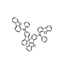 c1ccc(N(c2ccc3c(c2)-c2ccccc2C32c3ccc(N(c4ccccc4)c4cccc5c4oc4ccccc45)cc3-c3oc4ccccc4c32)c2cccc3c2oc2ccccc23)cc1